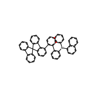 c1ccc(N(c2ccccc2-c2ccccc2-c2cccc3c2-c2ccccc2C32c3ccccc3-c3ccccc32)c2cccc3ccccc23)cc1